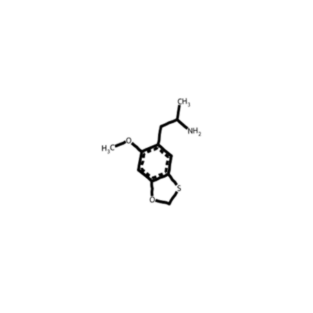 COc1cc2c(cc1CC(C)N)SCO2